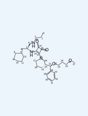 CCCNC[C@H](CC1CCCCC1)Nc1c(N2CCC[C@@H]([C@@H](OCCCOC)c3ccccc3)C2)c(=O)c1=O